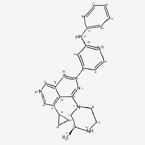 C[C@H]1CN(c2nc(-c3ccnc(Nc4ccccc4)c3)nc3cncc(C4CC4)c23)CCN1